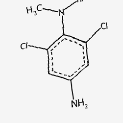 CCCN(C)c1c(Cl)cc(N)cc1Cl